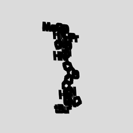 COC(=O)N[C@H](C(=O)N1CCC[C@H]1c1ncc(-c2ccc3c(c2)COc2cc4c(cc2-3)CCc2[nH]c([C@@H]3CCCN3C(=O)CC(C)(C)C)nc2-4)[nH]1)C(C)C